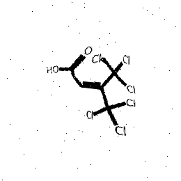 O=C(O)C=C(C(Cl)(Cl)Cl)C(Cl)(Cl)Cl